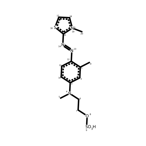 Cc1cc(N(C)CCOS(=O)(=O)O)ccc1N=Nc1scc[n+]1C